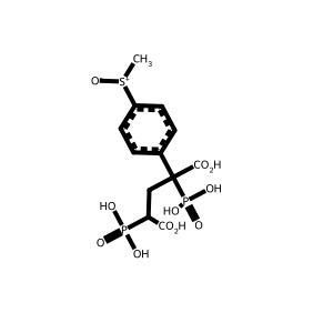 C[S+]([O-])c1ccc(C(CC(C(=O)O)P(=O)(O)O)(C(=O)O)P(=O)(O)O)cc1